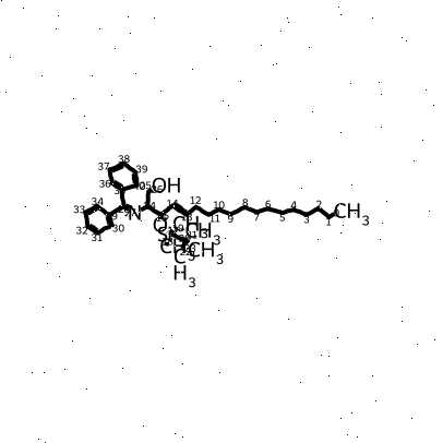 CCCCCCCCCCCCCC=CC(O[Si](C)(C)C(C)(C)C)C(CO)N=C(c1ccccc1)c1ccccc1